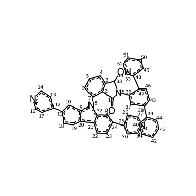 O=C1c2c(cccc2-n2c3cc(-c4ccncc4)ccc3c3ccc(-c4ccncc4)cc32)C(O)N1c1cc(-c2ccccc2)ccc1-c1ccccc1